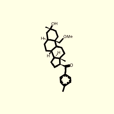 COC[C@]12CC[C@@](C)(O)C[C@@H]1CC[C@@H]1C2CC[C@]2(C)[C@@H](C(=O)c3ccc(C)cc3)CC[C@@H]12